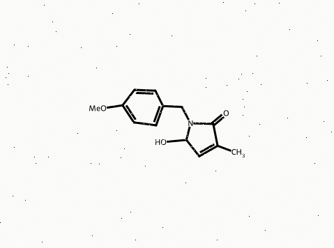 COc1ccc(CN2C(=O)C(C)=CC2O)cc1